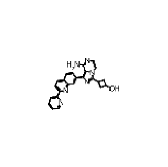 Nc1nccn2c(C3CC(O)C3)nc(-c3ccc4ccc(-c5ccccn5)nc4c3)c12